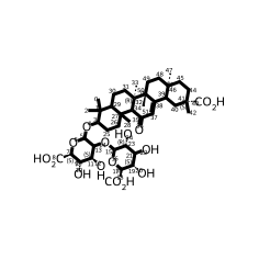 CC1(C)C(OC2O[C@H](C(=O)O)[C@@H](O)[C@H](O)C2OC2O[C@H](C(=O)O)[C@@H](O)C(O)[C@H]2O)CCC2(C)C1CC[C@]1(C)C2C(=O)C=C2C3C[C@@](C)(C(=O)O)CC[C@]3(C)CC[C@]21C